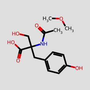 CC(=O)NC(CO)(Cc1ccc(O)cc1)C(=O)O.COC